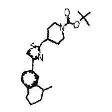 CC1CCCc2ccc(-c3csc(C4CCN(C(=O)OC(C)(C)C)CC4)n3)cc21